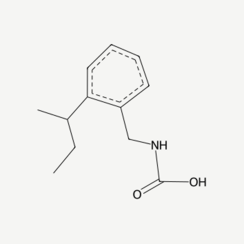 CCC(C)c1ccccc1CNC(=O)O